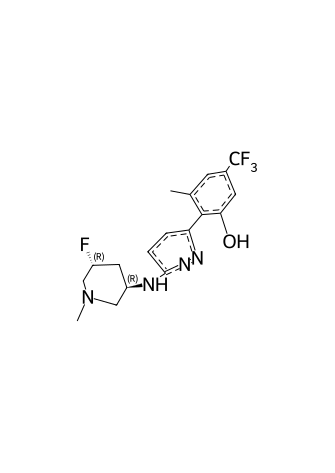 Cc1cc(C(F)(F)F)cc(O)c1-c1ccc(N[C@@H]2C[C@@H](F)CN(C)C2)nn1